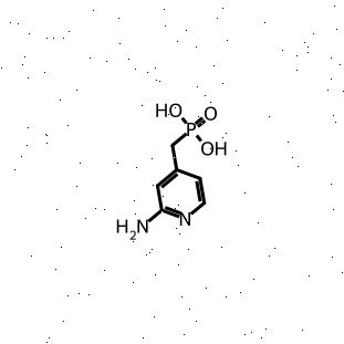 Nc1cc(CP(=O)(O)O)ccn1